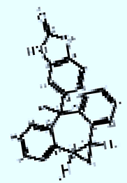 CC1(c2ccc3sc(=O)[nH]c3c2)c2ccccc2[C@H]2C[C@H]2c2ccccc21